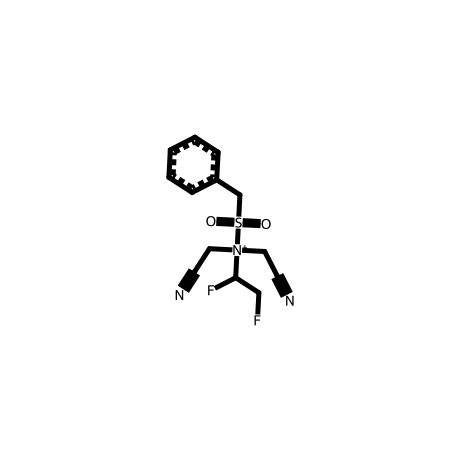 N#CC[N+](CC#N)(C(F)CF)S(=O)(=O)Cc1ccccc1